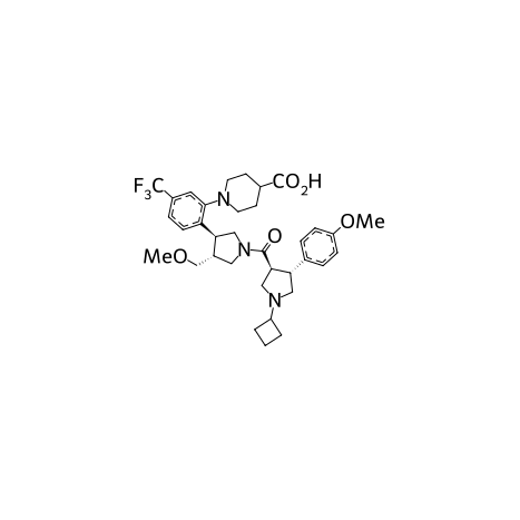 COC[C@H]1CN(C(=O)[C@@H]2CN(C3CCC3)C[C@H]2c2ccc(OC)cc2)C[C@@H]1c1ccc(C(F)(F)F)cc1N1CCC(C(=O)O)CC1